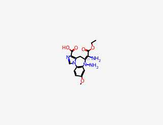 CCOC(=O)/C(N)=C1\Cc2c(C(=O)O)ncn2-c2ccc(OC)cc2N1N